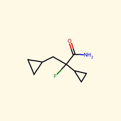 NC(=O)C(F)(CC1CC1)C1CC1